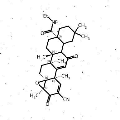 CCNC(=O)[C@]12CCC(C)(C)CC1C1C(=O)C=C3[C@@]4(C)C=C(C#N)C(=O)[C@@]5(C)O[C@@]45CC[C@@]3(C)[C@]1(C)CC2